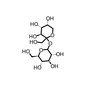 OC[C@H]1OC(OC2(CO)OC[C@@H](O)[C@@H](O)[C@@H]2O)[C@H](O)[C@@H](O)[C@@H]1O